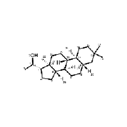 CC(O)[C@H]1CC[C@H]2[C@@H]3CC[C@H]4CC(C)(C)CC[C@@H]4[C@H]3CC[C@]12C